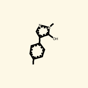 Cc1ccc(-c2cnn(C)c2O)cc1